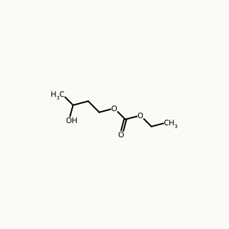 CCOC(=O)OCCC(C)O